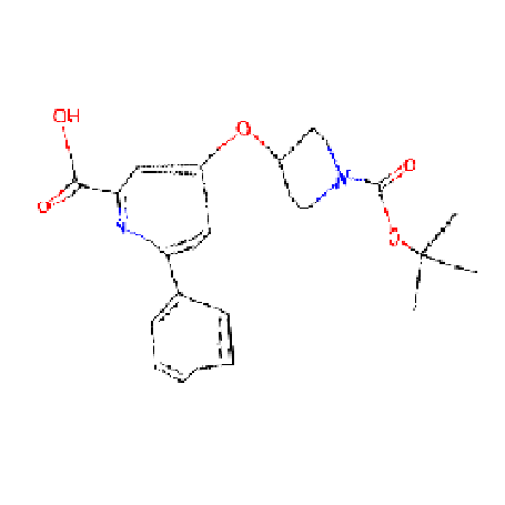 CC(C)(C)OC(=O)N1CC(Oc2cc(C(=O)O)nc(-c3ccccc3)c2)C1